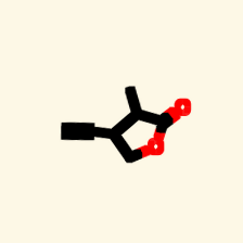 C#CC1COC(=O)C1C